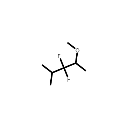 COC(C)C(F)(F)C(C)C